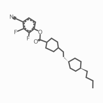 CCCC[C@H]1CC[C@H](CCC2CCC(C(=O)Oc3ccc(C#N)c(F)c3F)CC2)CC1